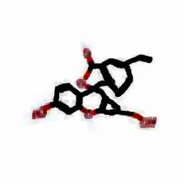 C=Cc1ccc2c(c1)C(=O)OC21c2ccc(O)cc2Oc2cc(O)ccc21